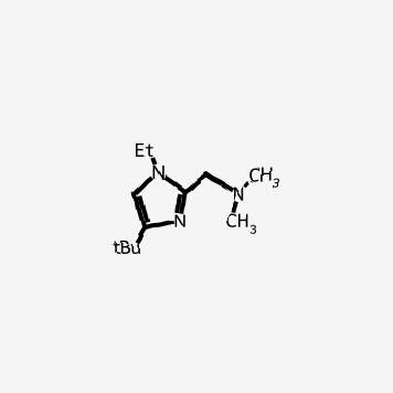 CCn1cc(C(C)(C)C)nc1CN(C)C